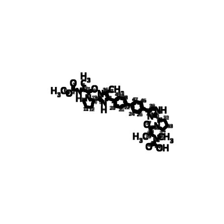 COC(=O)N[C@@H](C)C(=O)N1CCC[C@H]1c1nc(C)c(-c2ccc(-c3ccc(-c4c[nH]c([C@@H]5CCCN5C(=O)[C@H](C)N(C)C(=O)O)n4)cc3)cc2)[nH]1